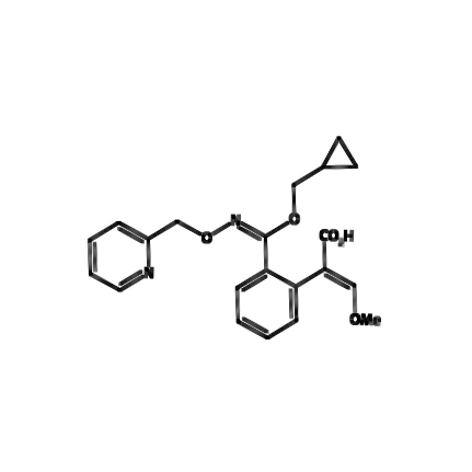 CO/C=C(/C(=O)O)c1ccccc1/C(=N\OCc1ccccn1)OCC1CC1